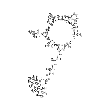 C/C(=N/O)C(C)(C)NCCC(CCNC(=O)CCCC(=O)NCCCC[C@@H]1NC(=O)CSC[C@@H](C)NC(=O)[C@H](Cc2ccccc2)NC(=O)[C@H](CS)NC(=O)[C@H](CC(=O)O)NC(=O)CNC(=O)[C@H](CCCNC(=N)N)NC(=O)[C@H](CS)NC1=O)CCNC(C)(C)/C(C)=N\O